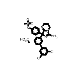 CC(=O)O.CS(=O)(=O)Oc1ccc(C2(c3cccc(-c4cc(Cl)cc(Cl)c4)c3)N=C(N)N3CCCN=C32)cc1